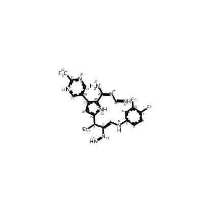 CCC(/C(=C/Nc1ccc(F)c(F)c1)N=N)c1cc(-c2cnc(C(F)(F)F)nc2)c(/C(N)=N\C=N)[nH]1